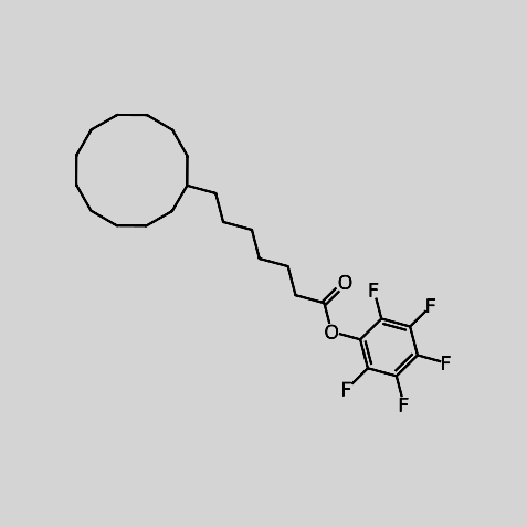 O=C(CCCCCCC1CCCCCCCCCCC1)Oc1c(F)c(F)c(F)c(F)c1F